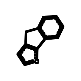 c1ccc2c(c1)Cc1ccoc1-2